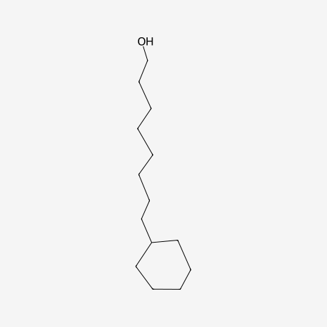 OCCCCCCCCC1CCCCC1